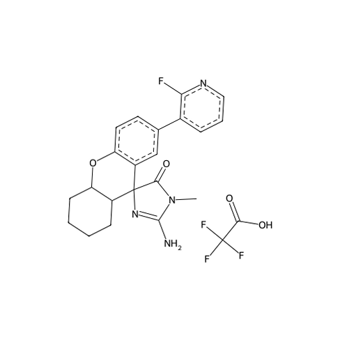 CN1C(=O)C2(N=C1N)c1cc(-c3cccnc3F)ccc1OC1CCCCC12.O=C(O)C(F)(F)F